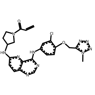 C=CC(=O)N1CCC(Nc2ccc3ncnc(Nc4ccc(OCc5nnnn5C)c(Cl)c4)c3n2)C1